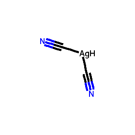 N#[C][AgH][C]#N